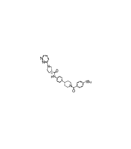 CC(C)(C)c1ccc(C(=O)N2CCC(c3ccc(NC(=O)[C@H]4CCN(c5cccnn5)C4)cc3)CC2)cc1